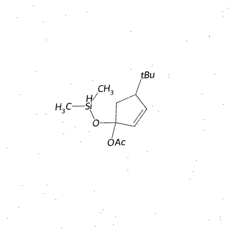 CC(=O)OC1(O[SiH](C)C)C=CC(C(C)(C)C)C1